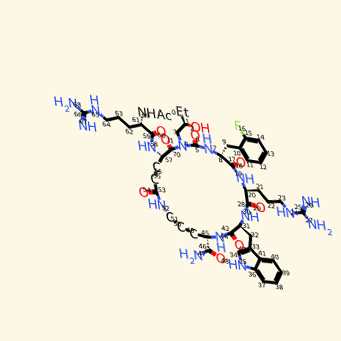 CC[C@@H](O)CN1C(=O)N[C@H](Cc2ccccc2F)C(=O)N[C@@H](CCCNC(=N)N)C(=O)N[C@@H](Cc2c[nH]c3ccccc23)C(=O)N[C@H](C(N)=O)CCCNC(=O)CC[C@H](NC(=O)[C@H](CCCNC(=N)N)NC(C)=O)C1=O